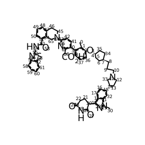 Cc1c(O[C@H]2CC[C@H](CCCN3CC[C@H](c4ccc5c(C6CCC(=O)NC6=O)nn(C)c5c4)C3)CC2)cccc1-c1ccc(N2CCc3cccc(C(=O)Nc4nc5ccccc5s4)c3C2)nc1C(=O)O